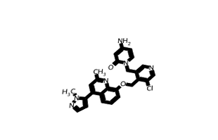 Cc1cc(-c2ccnn2C)c2cccc(OCc3c(Cl)cncc3Cn3ccc(N)cc3=O)c2n1